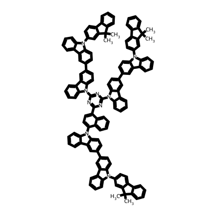 CC1(C)c2ccccc2-c2ccc(-n3c4ccccc4c4cc(-c5ccc6c(c5)c5ccccc5n6-c5nc(-c6ccc(-n7c8ccccc8c8cc(-c9ccc%10c(c9)c9ccccc9n%10-c9ccc%10c(c9)C(C)(C)c9ccccc9-%10)ccc87)c7ccccc67)nc(-n6c7ccccc7c7cc(-c8ccc9c(c8)c8ccccc8n9-c8ccc9c(c8)C(C)(C)c8ccccc8-9)ccc76)n5)ccc43)cc21